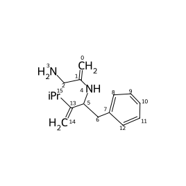 C=C(CN)NC(Cc1ccccc1)C(=C)C(C)C